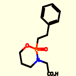 O=C(O)CN1CCCOP1(=O)CCc1ccccc1